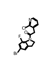 O=C(Cc1cccnc1Cl)N1CCc2cc(Br)cc(F)c21